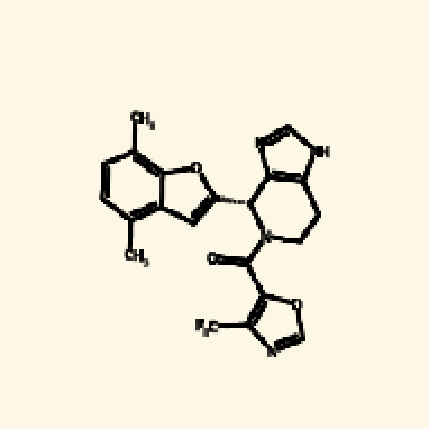 Cc1ccc(C)c2oc([C@@H]3c4nc[nH]c4CCN3C(=O)c3ocnc3C(F)(F)F)cc12